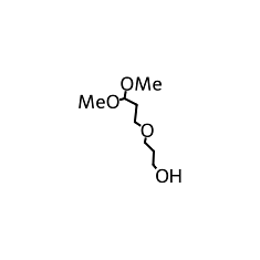 COC(CCOCCCO)OC